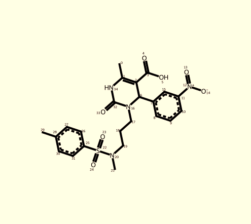 CC1=C(C(=O)O)C(c2cccc([N+](=O)[O-])c2)N(CCCN(C)S(=O)(=O)c2ccc(C)cc2)C(=O)N1